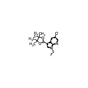 CC1(C)OB(c2cn(SI)c3ncc(Cl)cc23)OC1(C)C